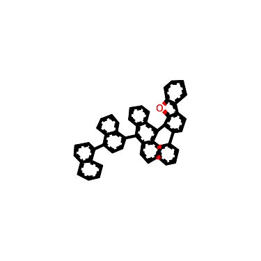 c1ccc(-c2ccc3c(oc4ccccc43)c2-c2c3ccccc3c(-c3ccc(-c4cccc5ccccc45)c4ccccc34)c3ccccc23)cc1